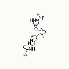 Cc1onc(O[C@@H]2CN[C@H](C(F)F)C2)c1-c1ccn2nc(NC(=O)C3CC3)cc2c1